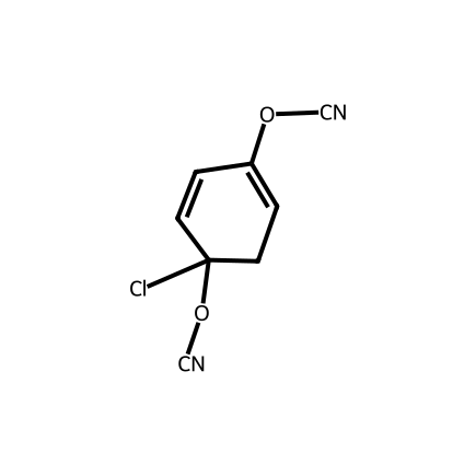 N#COC1=CCC(Cl)(OC#N)C=C1